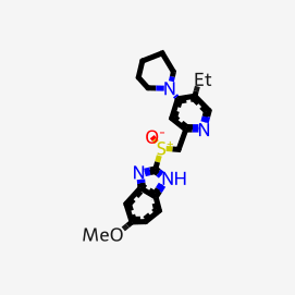 CCc1cnc(C[S+]([O-])c2nc3cc(OC)ccc3[nH]2)cc1N1CCCCC1